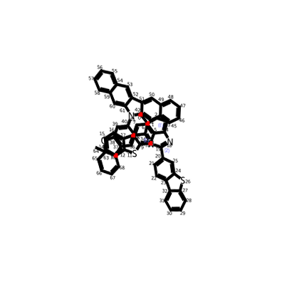 CC1C/C=C(c2ccc3c(c2)sc2ccccc23)/N=C(c2ccc3c(c2)sc2ccccc23)\N=C/1c1cc2c(cc1-n1c3cc4ccccc4cc3c3cc4ccccc4cc31)OC1(C)C=CC=CC21